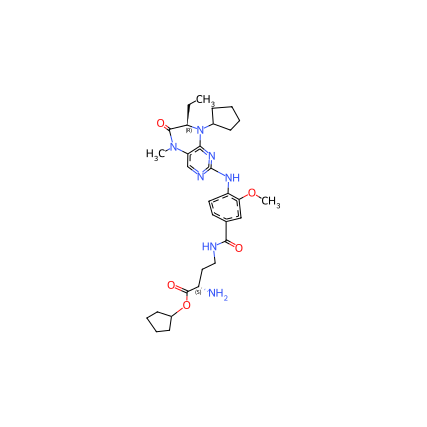 CC[C@@H]1C(=O)N(C)c2cnc(Nc3ccc(C(=O)NCC[C@H](N)C(=O)OC4CCCC4)cc3OC)nc2N1C1CCCC1